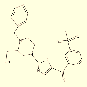 CS(=O)(=O)c1cccc(C(=O)c2cnc(N3CCN(Cc4ccccc4)C(CO)C3)s2)c1